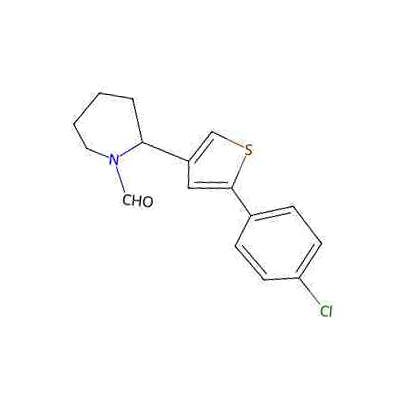 O=CN1CCCCC1c1csc(-c2ccc(Cl)cc2)c1